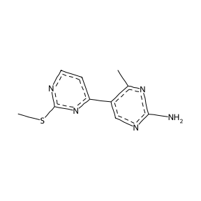 CSc1nccc(-c2cnc(N)nc2C)n1